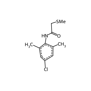 CSCC(=O)Nc1c(C)cc(Cl)cc1C